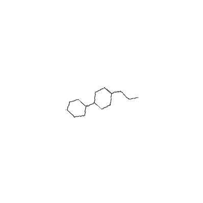 CCCC1CCC(C2CC[CH]CC2)CC1